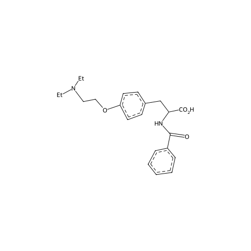 CCN(CC)CCOc1ccc(CC(NC(=O)c2ccccc2)C(=O)O)cc1